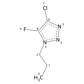 CCCn1nnc(Cl)c1F